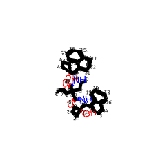 CCCC(CCC)(C(=O)N[C@@H](c1cccc2ccccc12)C1(O)CCC1)C(=O)N[C@@H](c1cccc2ccccc12)C1(O)CCC1